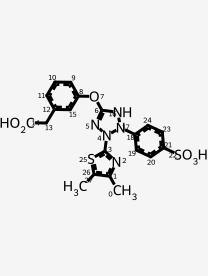 Cc1nc(N2N=C(Oc3cccc(CC(=O)O)c3)NN2c2ccc(S(=O)(=O)O)cc2)sc1C